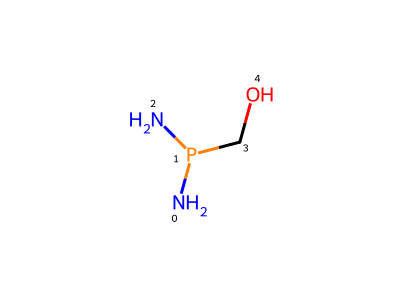 NP(N)CO